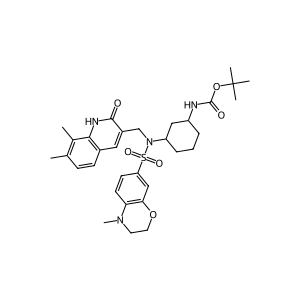 Cc1ccc2cc(CN(C3CCCC(NC(=O)OC(C)(C)C)C3)S(=O)(=O)c3ccc4c(c3)OCCN4C)c(=O)[nH]c2c1C